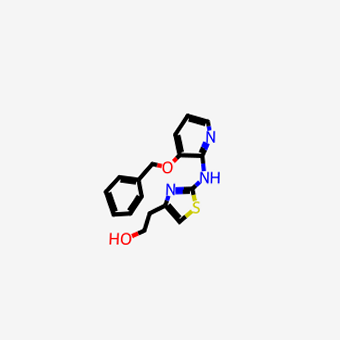 OCCc1csc(Nc2ncccc2OCc2ccccc2)n1